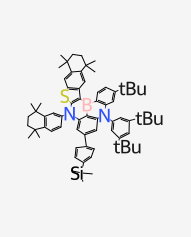 CC(C)(C)c1cc(N2c3cc(C(C)(C)C)ccc3B3c4c2cc(-c2ccc([Si](C)(C)C)cc2)cc4N(c2ccc4c(c2)C(C)(C)CCC4(C)C)c2sc4cc5c(cc4c23)C(C)(C)CCC5(C)C)cc(C(C)(C)C)c1